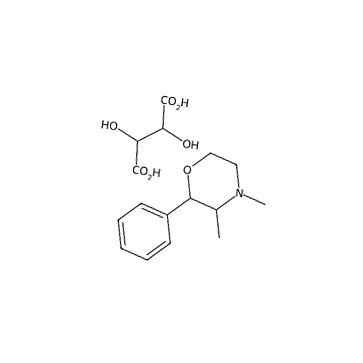 CC1C(c2ccccc2)OCCN1C.O=C(O)C(O)C(O)C(=O)O